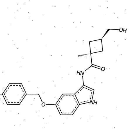 Cc1ccc(COc2ccc3[nH]cc(NC(=O)[C@]4(C)C[C@H](CO)C4)c3c2)cc1